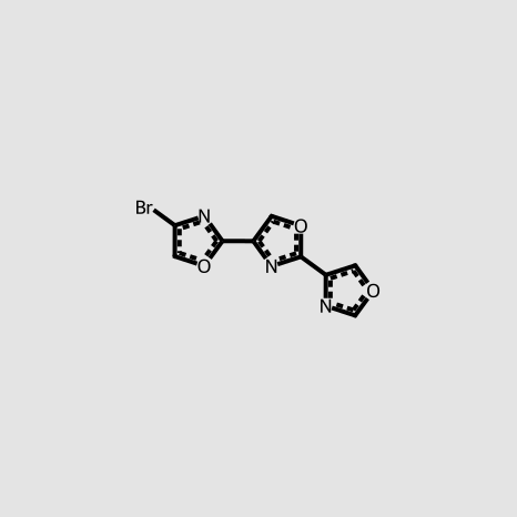 Brc1coc(-c2coc(-c3cocn3)n2)n1